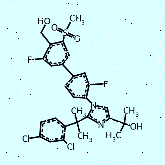 CC(C)(O)c1cn(-c2ccc(-c3cc(F)c(CO)c(S(C)(=O)=O)c3)cc2F)c(C(C)(C)c2ccc(Cl)cc2Cl)n1